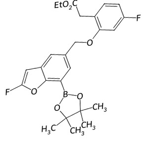 CCOC(=O)Cc1ccc(F)cc1OCc1cc(B2OC(C)(C)C(C)(C)O2)c2oc(F)cc2c1